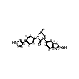 CC(C)CN(C(=O)Oc1ccc(-c2nn[nH]n2)cc1)c1ccc2nc(S)sc2c1